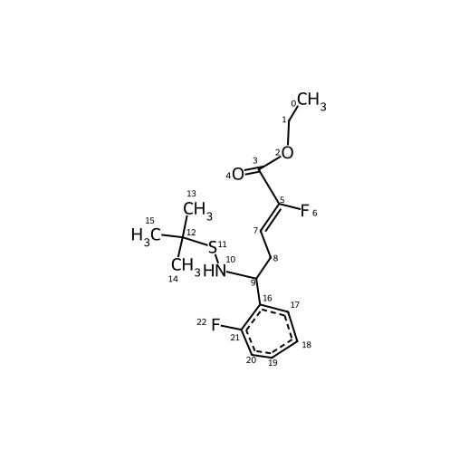 CCOC(=O)/C(F)=C/CC(NSC(C)(C)C)c1ccccc1F